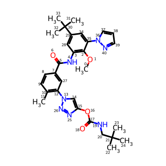 COc1c(NC(=O)c2ccc(C)c(-n3cc(OC(=O)NCC(C)(C)C)nn3)c2)cc(C(C)(C)C)cc1-n1cccn1